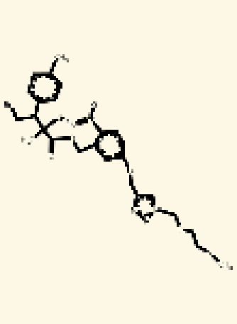 CSCCOCn1cc(COc2ccc([N+](=O)[O-])c(COC(=O)C(C)(C)C(CBr)c3ccc(C)cc3)c2)nn1